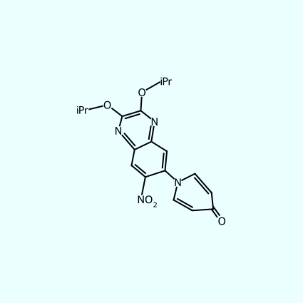 CC(C)Oc1nc2cc(-n3ccc(=O)cc3)c([N+](=O)[O-])cc2nc1OC(C)C